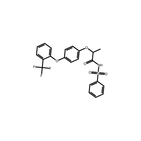 CC(Oc1ccc(Oc2ccccc2C(F)(F)F)cc1)C(=O)NS(=O)(=O)c1ccccc1